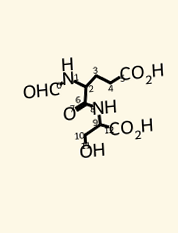 O=CNC(CCC(=O)O)C(=O)NC(CO)C(=O)O